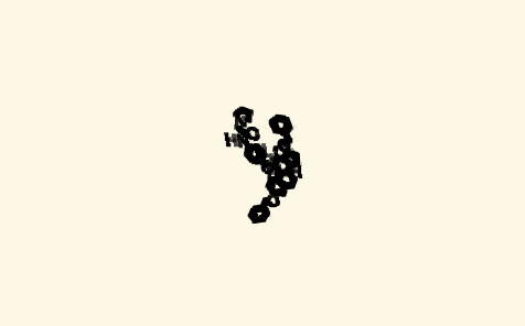 C[C@]12C[C@H](Oc3ccc(NC(=O)CN4CCCC4)cc3)[C@@H]3c4ccc(OCc5ccccc5)cc4CC[C@H]3[C@@H]1CC[C@@H]2OCc1ccccc1